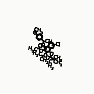 COc1ccc(C(C)Oc2c(OC(C)C)c(OC(C)C)c(OC(=O)C(C)(C)C)c3cc(Cl)ccc23)cc1